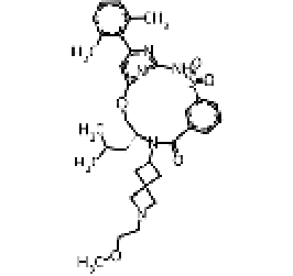 COCCN1CC2(CC(N3C(=O)c4cccc(c4)S(=O)(=O)Nc4nc(cc(-c5c(C)cccc5C)n4)OC[C@H]3CC(C)C)C2)C1